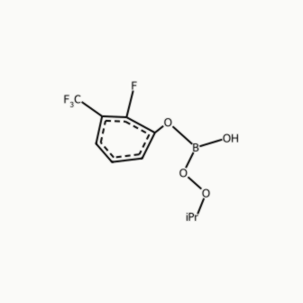 CC(C)OOB(O)Oc1cccc(C(F)(F)F)c1F